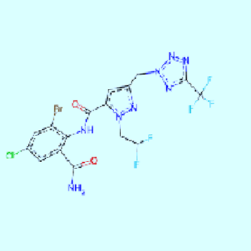 NC(=O)c1cc(Cl)cc(Br)c1NC(=O)c1cc(Cn2nnc(C(F)(F)F)n2)nn1CC(F)F